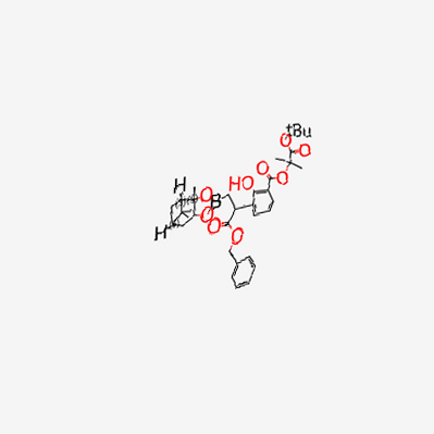 CC(C)(C)OC(=O)C(C)(C)OC(=O)c1cccc(C(CB2OC3C[C@@H]4C[C@@H](C4(C)C)[C@]3(C)O2)C(=O)OCc2ccccc2)c1O